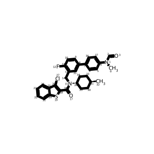 CN(C=O)c1ccc(-c2ccc(F)c(CN(C(=O)c3sc4ccccc4c3Cl)[C@H]3CC[C@H](C)CC3)c2)cc1